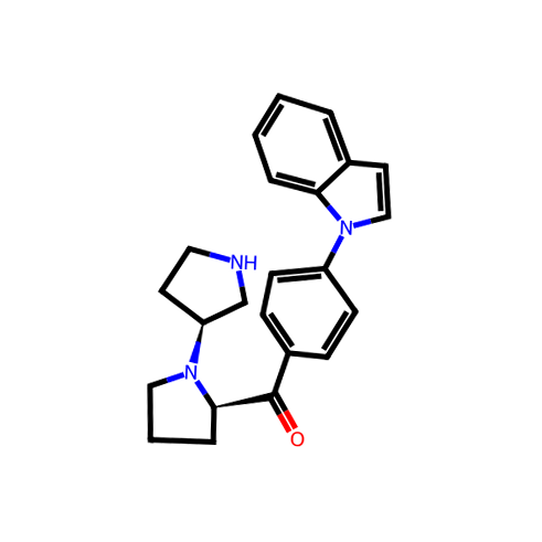 O=C(c1ccc(-n2ccc3ccccc32)cc1)[C@H]1CCCN1[C@H]1CCNC1